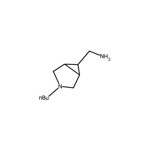 CCCCN1CC2C(CN)C2C1